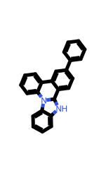 c1ccc(-c2ccc3c(c2)-c2ccccc2N2c4ccccc4NC32)cc1